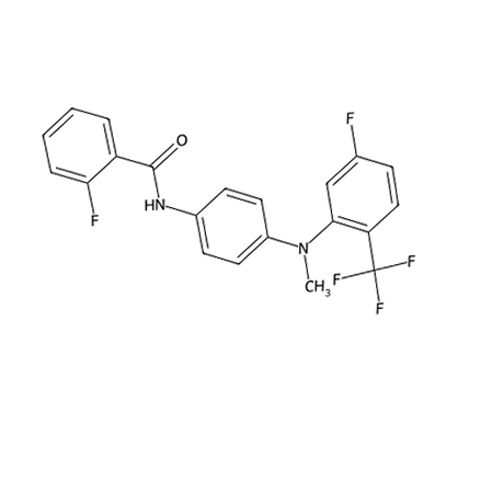 CN(c1ccc(NC(=O)c2ccccc2F)cc1)c1cc(F)ccc1C(F)(F)F